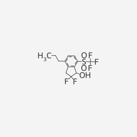 CCCc1ccc(S(=O)(=O)C(F)(F)F)c2c1CC(F)(F)C2O